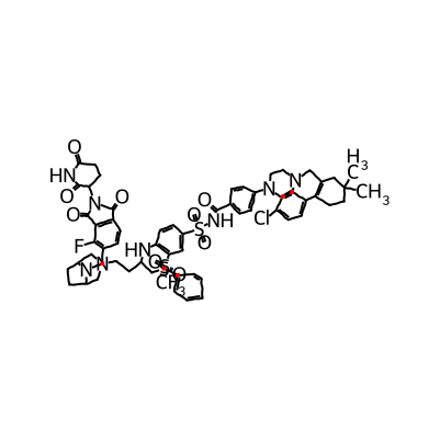 CC1(C)CCC(c2ccc(Cl)cc2)=C(CN2CCN(c3ccc(C(=O)NS(=O)(=O)c4ccc(NC(CCN5CC6CCC(C5)N6Cc5ccc6c(c5F)C(=O)N(C5CCC(=O)NC5=O)C6=O)CSc5ccccc5)c(S(=O)(=O)C(F)(F)F)c4)cc3)CC2)C1